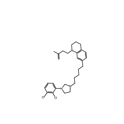 C=C(C)CCN1CCCc2ccc(CCCCCN3CCN(c4cccc(Cl)c4Cl)C3)cc21